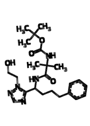 CC(C)(C)OC(=O)NC(C)(C)C(=O)NC(CCCc1ccccc1)c1ncnn1CCO